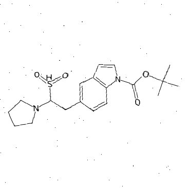 CC(C)(C)OC(=O)n1ccc2cc(CC(N3CCCC3)[SH](=O)=O)ccc21